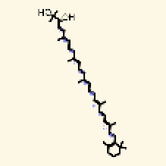 CC1=C(/C=C/C(C)=C/C=C/C(C)=C/C=C/C=C(C)/C=C/C=C(C)/C=C/C=C(C)/C=C/[C@H](O)C(C)(C)O)C(C)(C)CCC1